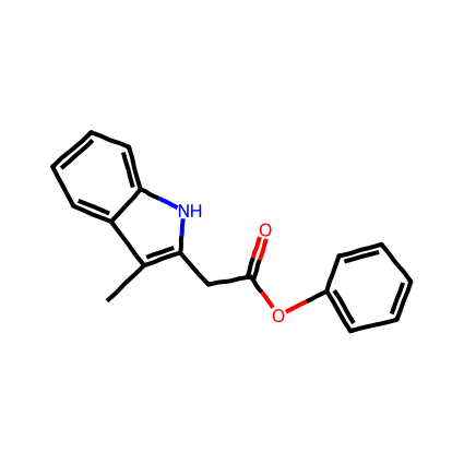 Cc1c(CC(=O)Oc2ccccc2)[nH]c2ccccc12